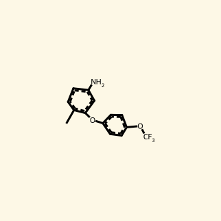 Cc1ccc(N)cc1Oc1ccc(OC(F)(F)F)cc1